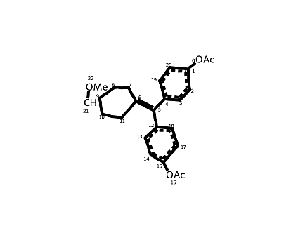 CC(=O)Oc1ccc(C(=C2CCCCC2)c2ccc(OC(C)=O)cc2)cc1.COC